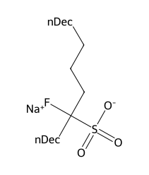 CCCCCCCCCCCCCC(F)(CCCCCCCCCC)S(=O)(=O)[O-].[Na+]